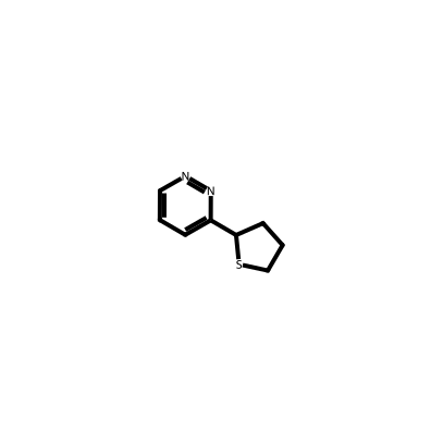 c1cnnc(C2CCCS2)c1